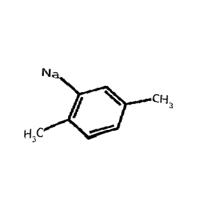 Cc1ccc(C)[c]([Na])c1